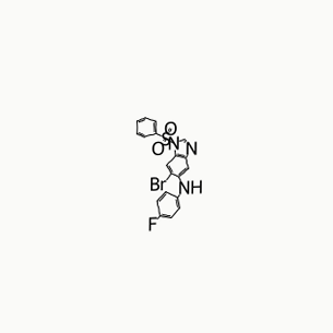 O=S(=O)(c1ccccc1)n1cnc2cc(Nc3ccc(F)cc3)c(Br)cc21